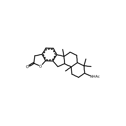 CC(=O)NC1CCC2(C)C3Cc4c(ccc5c4OC(=O)C5)C3(C)CCC2C1(C)C